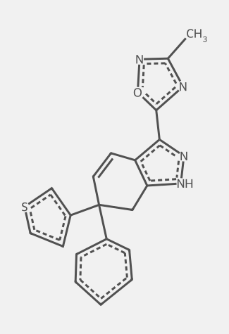 Cc1noc(-c2n[nH]c3c2C=CC(c2ccccc2)(c2ccsc2)C3)n1